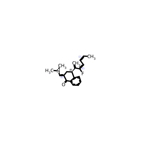 C=C(/C(F)=C\C=C/C)[C@@H]1C/C(=C\N(C)C)C(=O)c2ccccc21